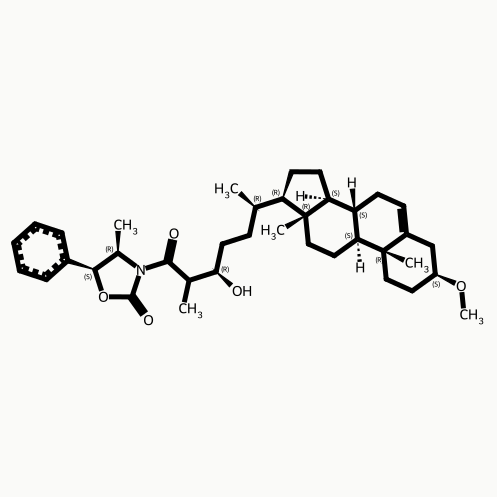 CO[C@H]1CC[C@@]2(C)C(=CC[C@H]3[C@@H]4CC[C@H]([C@H](C)CC[C@@H](O)C(C)C(=O)N5C(=O)O[C@@H](c6ccccc6)[C@H]5C)[C@@]4(C)CC[C@@H]32)C1